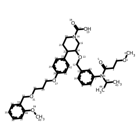 COCCC(=O)N(c1cccc(COC2CN(C(=O)O)CCC2c2ccc(OCCCOCc3ccccc3OC)cc2)c1)C(C)C